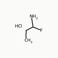 CCC(N)F.Cl